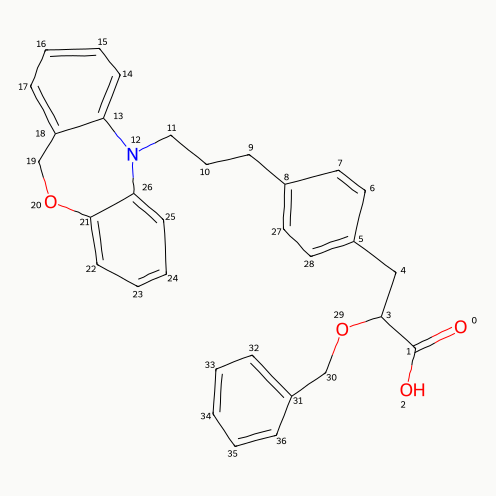 O=C(O)C(Cc1ccc(CCCN2c3ccccc3COc3ccccc32)cc1)OCc1ccccc1